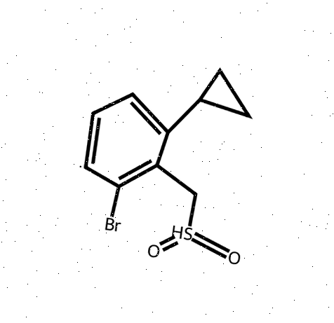 O=[SH](=O)Cc1c(Br)[c]ccc1C1CC1